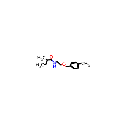 CCC(C)C(=O)NCCOCc1ccc(C)cc1